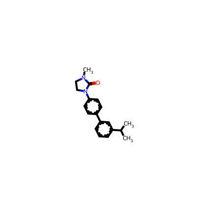 CC(C)c1cccc(-c2ccc(N3CCN(C)C3=O)cc2)c1